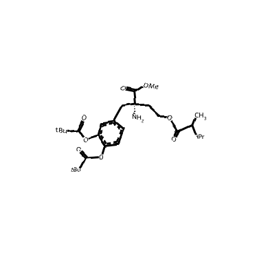 COC(=O)[C@@](N)(CCOC(=O)C(C)C(C)C)Cc1ccc(OC(=O)C(C)(C)C)c(OC(=O)C(C)(C)C)c1